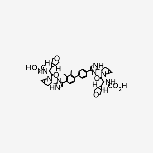 Cc1c(-c2ccc(-c3c[nH]c([C@@H]4CC5CC5N4C(=O)[C@H](NC(=O)O)C4[C@H]5COC[C@H]45)n3)cc2)ccc(-c2c[nH]c([C@@H]3CC4CC4N3C(=O)[C@H](NC(=O)O)C3[C@H]4COC[C@H]34)n2)c1C